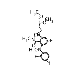 COC[C@@H](CCOc1cc(F)cc(N(C)c2ccc(I)cc2F)c1C(=O)N(C)C)OC